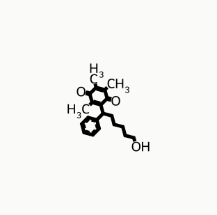 CC1=C(C)C(=O)C(C(CCCCCO)c2ccccc2)=C(C)C1=O